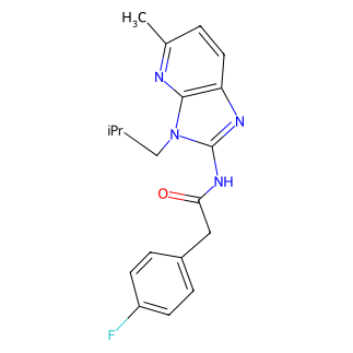 Cc1ccc2nc(NC(=O)Cc3ccc(F)cc3)n(CC(C)C)c2n1